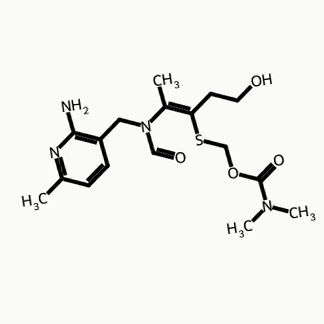 C/C(=C(\CCO)SCOC(=O)N(C)C)N(C=O)Cc1ccc(C)nc1N